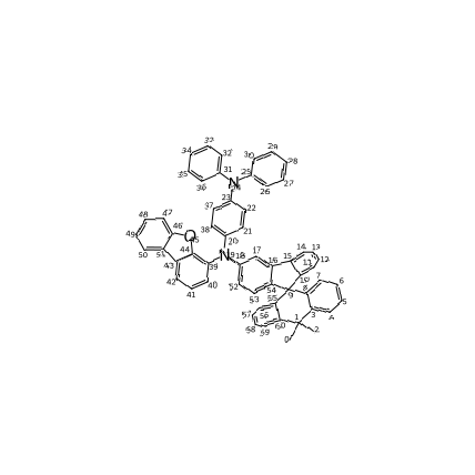 CC1(C)c2ccccc2C2(c3ccccc3-c3cc(N(c4ccc(N(c5ccccc5)c5ccccc5)cc4)c4cccc5c4oc4ccccc45)ccc32)c2ccccc21